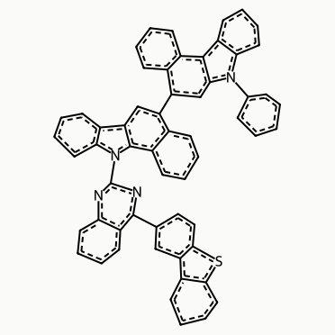 c1ccc(-n2c3ccccc3c3c4ccccc4c(-c4cc5c6ccccc6n(-c6nc(-c7ccc8sc9ccccc9c8c7)c7ccccc7n6)c5c5ccccc45)cc32)cc1